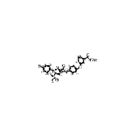 CNC(=O)c1cc(Oc2ccc(NC(=O)c3cc(S(C)(=O)=O)n(-c4ccc(F)cc4)n3)cc2)ccn1